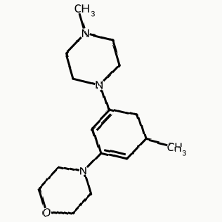 CC1C=C(N2CCOCC2)C=C(N2CCN(C)CC2)C1